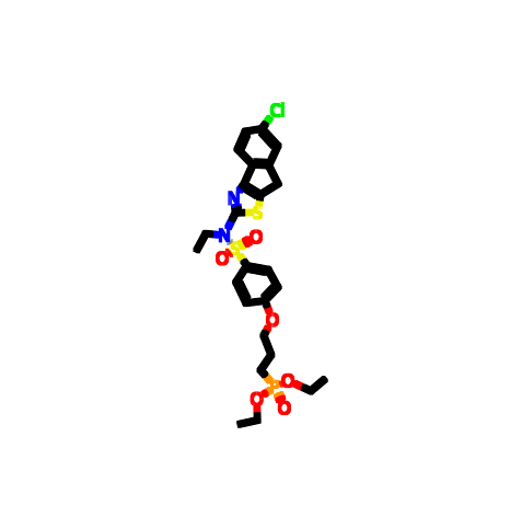 CCOP(=O)(CCCOc1ccc(S(=O)(=O)N(CC)c2nc3c(s2)Cc2cc(Cl)ccc2-3)cc1)OCC